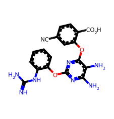 N#Cc1ccc(C(=O)O)c(Oc2nc(Oc3ccccc3NC(=N)N)nc(N)c2N)c1